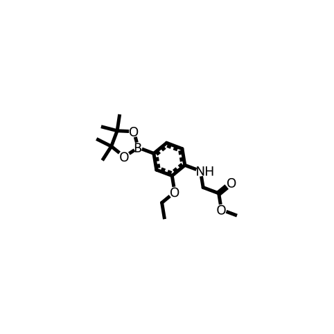 CCOc1cc(B2OC(C)(C)C(C)(C)O2)ccc1NCC(=O)OC